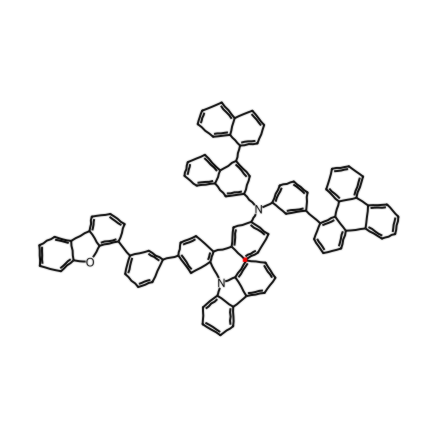 c1cc(-c2ccc(-c3cccc(N(c4cccc(-c5cccc6c7ccccc7c7ccccc7c56)c4)c4cc(-c5cccc6ccccc56)c5ccccc5c4)c3)c(-n3c4ccccc4c4ccccc43)c2)cc(-c2cccc3c2oc2ccccc23)c1